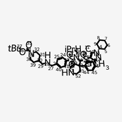 Cc1nn(C2CCCCC2)c(C)c1S(=O)(=O)C(N(CC(C)C)S(=O)(=O)c1ccc(CNCC2CCN(C(=O)OC(C)(C)C)CC2)cc1)C1(c2ccccc2)CCNCC1